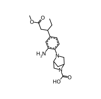 CCC(CC(=O)OC)c1ccc(N2CC3CC2CN3C(=O)O)c(N)c1